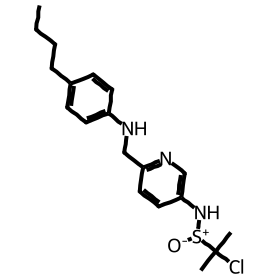 CCCCc1ccc(NCc2ccc(N[S+]([O-])C(C)(C)Cl)cn2)cc1